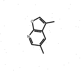 Cc1cnc2occ(C)c2c1